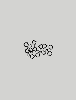 c1ccc(C2(c3cccc([Si](c4ccccc4)(c4ccccc4)c4cc(-c5ccccc5-n5c6ccccc6c6ccccc65)cc(N5c6ccccc6Oc6ccccc65)c4)c3)c3ccccc3-c3ccccc32)cc1